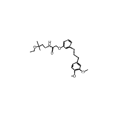 CCOC(C)(C)CCNC(=O)COc1cccc(CCCc2ccc(OC)c(OC)c2)c1